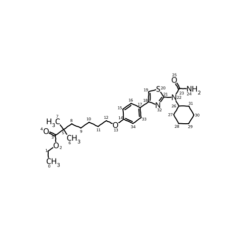 CCOC(=O)C(C)(C)CCCCCOc1ccc(-c2csc(N(C(N)=O)C3CCCCC3)n2)cc1